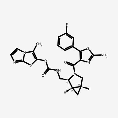 Cc1c(OC(=O)NC[C@@H]2[C@H]3C[C@H]3CN2C(=O)c2nc(N)sc2-c2cccc(F)c2)sc2nccn12